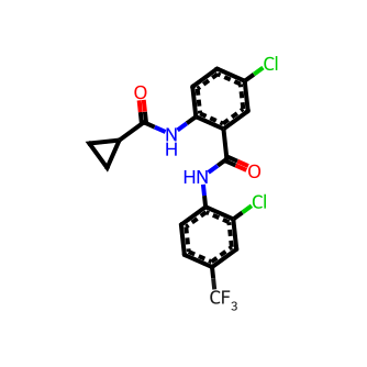 O=C(Nc1ccc(C(F)(F)F)cc1Cl)c1cc(Cl)ccc1NC(=O)C1CC1